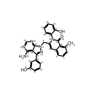 Cc1cccc2cc(Cn3nc(-c4cccc(O)c4)c4c(N)ncnc43)n(-c3ccccc3O)c(=O)c12